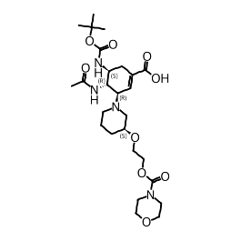 CC(=O)N[C@@H]1[C@@H](NC(=O)OC(C)(C)C)CC(C(=O)O)=C[C@H]1N1CCC[C@H](OCCOC(=O)N2CCOCC2)C1